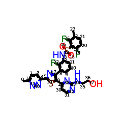 Cc1ccc(-c2nc(-c3cccc(NS(=O)(=O)c4c(F)ccc(C)c4F)c3F)c(-c3ccnc(NCCO)n3)s2)nn1